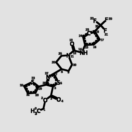 CCOC(=O)c1sc(C2CCN(C(=O)Nc3ccc(C(F)(F)F)cc3)CC2)nc1-c1cccs1